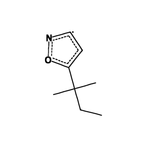 CCC(C)(C)c1c[c]no1